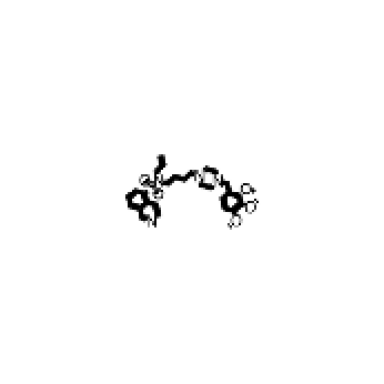 C=CCN(CCCCN1CCN(Cc2ccc(OC)c(OC)c2OC)CC1)S(=O)(=O)c1cccc2cnccc12